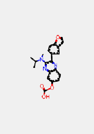 CC(C)N(C)c1nc2cc(OC(=O)O)ccc2nc1-c1ccc2occc2c1